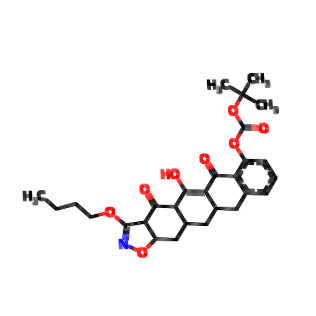 CCCCOC1=NOC2CC3CC4Cc5cccc(OC(=O)OC(C)(C)C)c5C(=O)C4=C(O)C3C(=O)C12